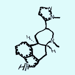 CN1CC(c2ccnn2C)C[C@@H]2c3cccc4[nH]cc(c34)C[C@H]21